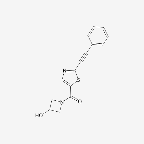 O=C(c1cnc(C#Cc2ccccc2)s1)N1CC(O)C1